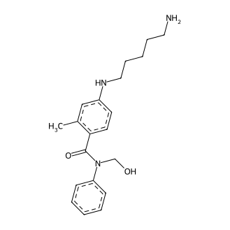 Cc1cc(NCCCCCN)ccc1C(=O)N(CO)c1ccccc1